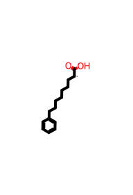 O=C(O)[CH]CCCCCCCc1ccccc1